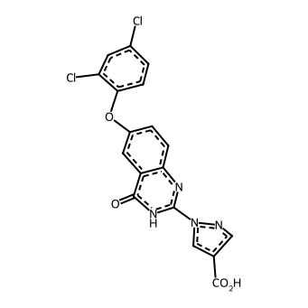 O=C(O)c1cnn(-c2nc3ccc(Oc4ccc(Cl)cc4Cl)cc3c(=O)[nH]2)c1